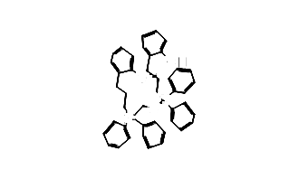 Oc1ccccc1CCC[Si](CO[Si](CCCc1ccccc1O)(c1ccccc1)c1ccccc1)(c1ccccc1)c1ccccc1